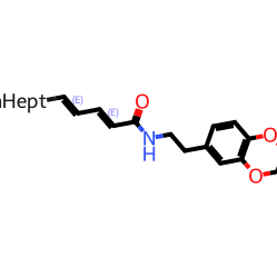 CCCCCCC/C=C/C=C/C(=O)NCCc1ccc2c(c1)OCCO2